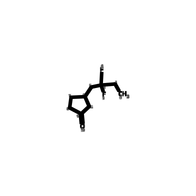 CCC(F)(F)CC1CCC(=O)C1